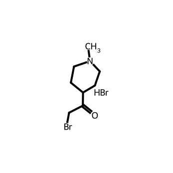 Br.CN1CCC(C(=O)CBr)CC1